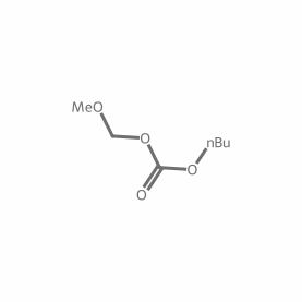 CCCCOC(=O)OCOC